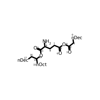 CCCCCCCCCCCC(=O)OC(=O)CCC(N)C(=O)OC(CCCCCCCC)CCCCCCCCCCC